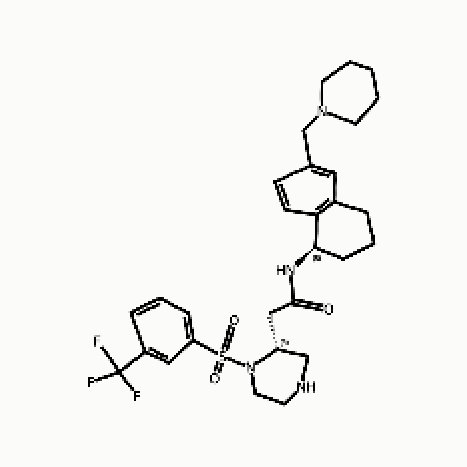 O=C(C[C@@H]1CNCCN1S(=O)(=O)c1cccc(C(F)(F)F)c1)N[C@@H]1CCCc2cc(CN3CCCCC3)ccc21